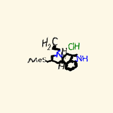 C=CCN1CC(CSC)C[C@H]2c3cccc4[nH]cc(c34)C[C@@H]21.Cl